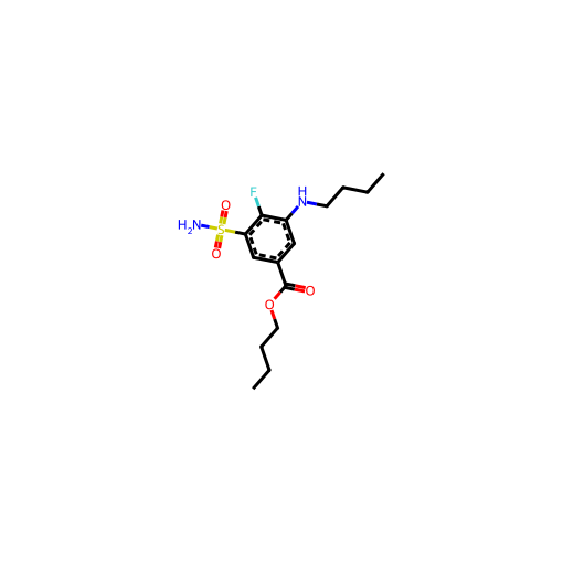 CCCCNc1cc(C(=O)OCCCC)cc(S(N)(=O)=O)c1F